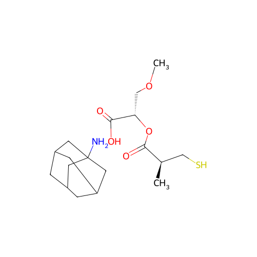 COC[C@H](OC(=O)[C@H](C)CS)C(=O)O.NC12CC3CC(CC(C3)C1)C2